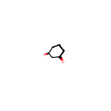 O=C1C[CH]CC(=O)C1